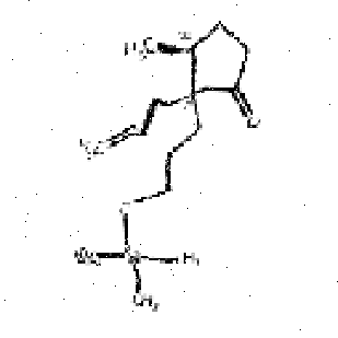 C=CC[C@]1(CCCO[Si](C)(C)C(C)(C)C)C(=O)CC[C@@H]1C